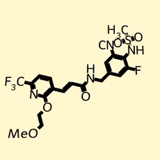 COCCOc1nc(C(F)(F)F)ccc1C=CC(=O)NCc1cc(F)c(NS(C)(=O)=O)c(C#N)c1